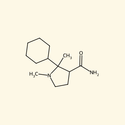 CN1CCC(C(N)=O)C1(C)C1CCCCC1